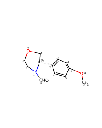 O=CN1CCOC[C@@H]1c1ccc(OC(F)(F)F)cc1